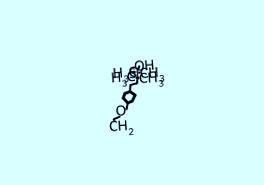 C=CCOCc1ccc(CCC(C)(C)[Si](C)(C)O)cc1